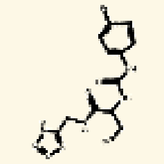 CC(C)CC(NC(=O)Nc1ccc(Br)cc1)C(=O)NCc1nnn[nH]1